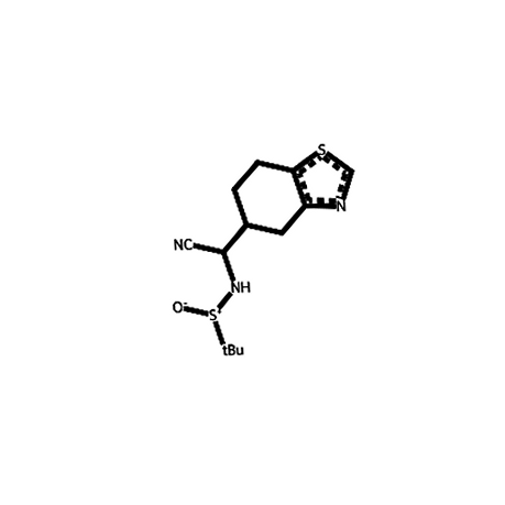 CC(C)(C)[S+]([O-])NC(C#N)C1CCc2scnc2C1